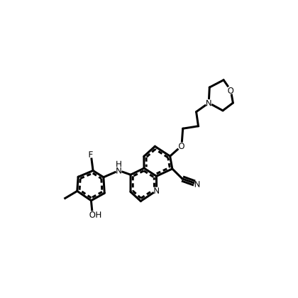 Cc1cc(F)c(Nc2ccnc3c(C#N)c(OCCCN4CCOCC4)ccc23)cc1O